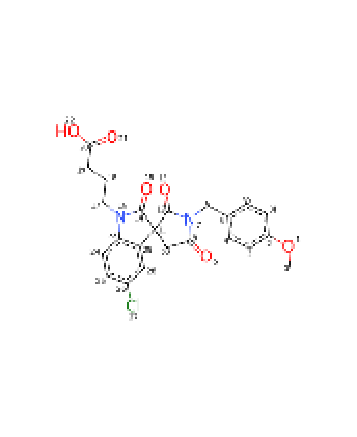 COc1ccc(CN2C(=O)CC3(C2=O)C(=O)N(CCCC(=O)O)c2ccc(Cl)cc23)cc1